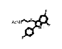 CC(=O)NCCSc1c(-c2ccc(F)cc2)[nH]c2c(F)cc(F)cc12